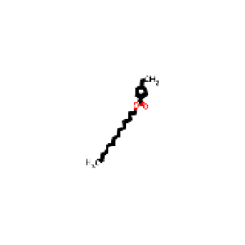 C=Cc1ccc(C(=O)OCCCCCCCCCCCCCC)cc1